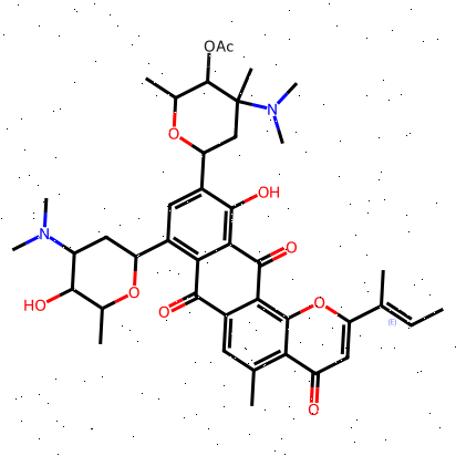 C/C=C(\C)c1cc(=O)c2c(C)cc3c(c2o1)C(=O)c1c(O)c(C2CC(C)(N(C)C)C(OC(C)=O)C(C)O2)cc(C2CC(N(C)C)C(O)C(C)O2)c1C3=O